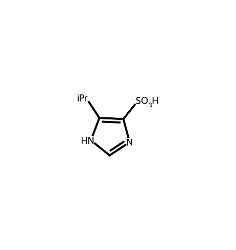 CC(C)c1[nH]cnc1S(=O)(=O)O